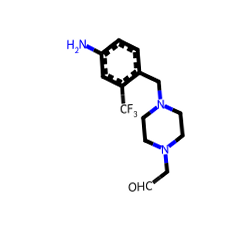 Nc1ccc(CN2CCN(CC=O)CC2)c(C(F)(F)F)c1